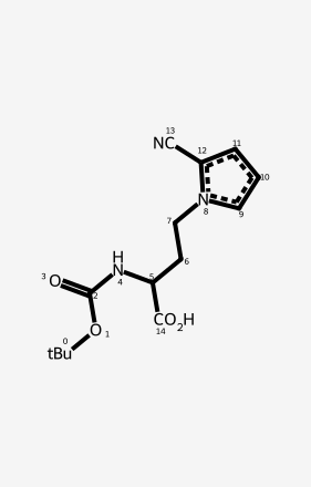 CC(C)(C)OC(=O)NC(CCn1cccc1C#N)C(=O)O